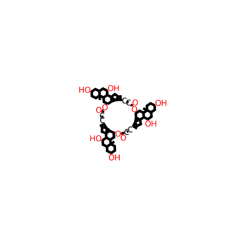 CC1CCC(=O)OC2CC3C(C(O)CC4CC(O)CCC43C)C3CCC(C(C)CCC(=O)OC4CC5C(C(O)CC6CC(O)CCC65C)C5CCC(C(C)CCC(=O)OC6CC7C(C(O)CC8CC(O)CCC87C)C7CCC1C67C)C45C)C23C